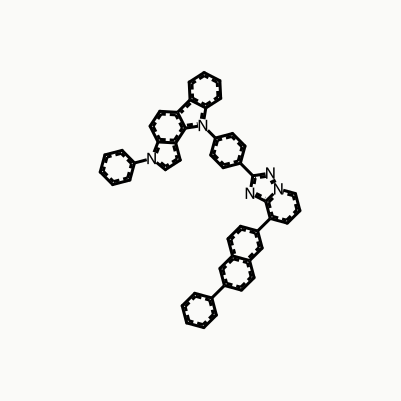 c1ccc(-c2ccc3cc(-c4cccn5nc(-c6ccc(-n7c8ccccc8c8ccc9c(ccn9-c9ccccc9)c87)cc6)nc45)ccc3c2)cc1